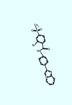 CS(=O)(=O)c1ccc(C(=O)Nc2ccc(-c3cn4ccccc4n3)cc2)c(Br)c1